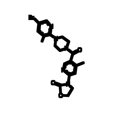 Cc1cc(N2CCOC2=O)ncc1C(=O)N1CCN(c2ncc(Br)cc2C)CC1